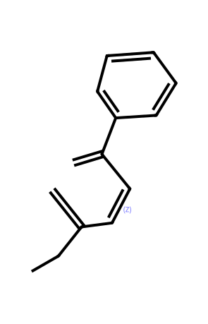 C=C(/C=C\C(=C)c1ccccc1)CC